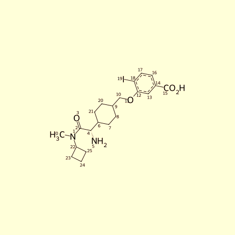 CN(C(=O)[C@@H](N)C1CCC(COc2cc(C(=O)O)ccc2I)CC1)C1CCC1